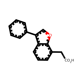 O=C(O)Cc1cccc2c(-c3ccccc3)coc12